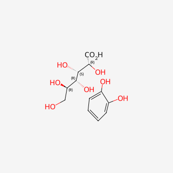 O=C(O)[C@H](O)[C@@H](O)[C@H](O)[C@H](O)CO.Oc1ccccc1O